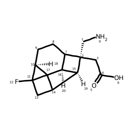 NC[C@@]1(CC(=O)O)C2CC[C@@H]3C4(F)CC5[C@H]1[C@H]2C534